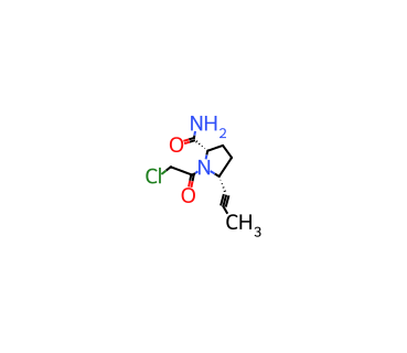 CC#C[C@H]1CC[C@@H](C(N)=O)N1C(=O)CCl